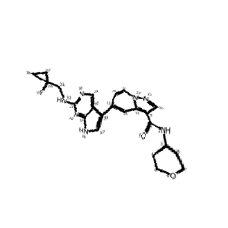 O=C(NC1CCOCC1)c1cnn2ccc(-c3c[nH]c4nc(NCC5(F)CC5)ncc34)cc12